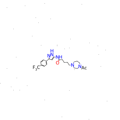 CC(=O)N1CCCN(CCCCC(=O)Nc2cc(-c3ccc(C(F)(F)F)cc3)n[nH]2)CC1